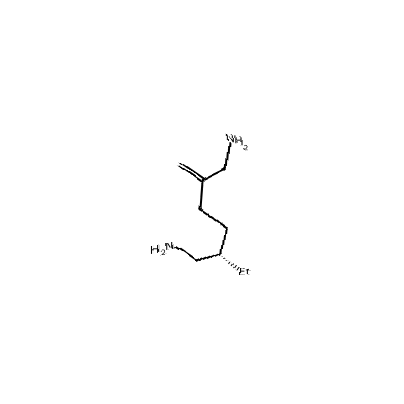 C=C(CN)CC[C@H](CC)CN